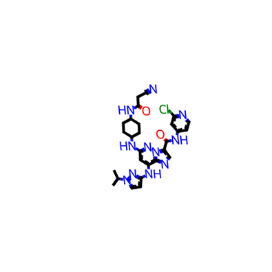 CC(C)n1ccc(Nc2cc(NC3CCC(NC(=O)CC#N)CC3)nn3c(C(=O)Nc4ccnc(Cl)c4)cnc23)n1